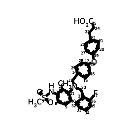 Cc1c(NS(C)(=O)=O)cccc1N(Cc1ccc(Oc2ccc(CCC(=O)O)cc2)cc1)Cc1ccccc1F